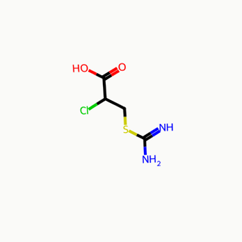 N=C(N)SCC(Cl)C(=O)O